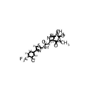 Cn1c(=O)c2c(CC(=O)Nc3nc(-c4ccc(C(F)(F)F)c(Cl)c4)cs3)nsc2n(C)c1=O